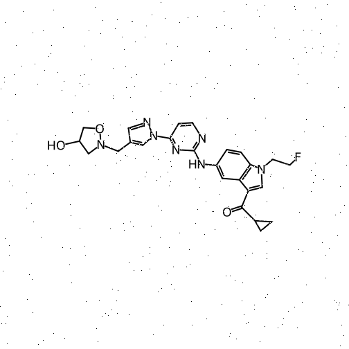 O=C(c1cn(CCF)c2ccc(Nc3nccc(-n4cc(CN5CC(O)CO5)cn4)n3)cc12)C1CC1